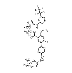 COc1cc(F)c(-c2cnc([C@H]3C[C@@H]3C(=O)OC(C)(C)C)cn2)cc1C(=O)N[C@@H]1[C@H]2CC[C@H](C2)[C@@H]1C(=O)Nc1cccc(S(=O)(=O)C(F)(F)F)c1